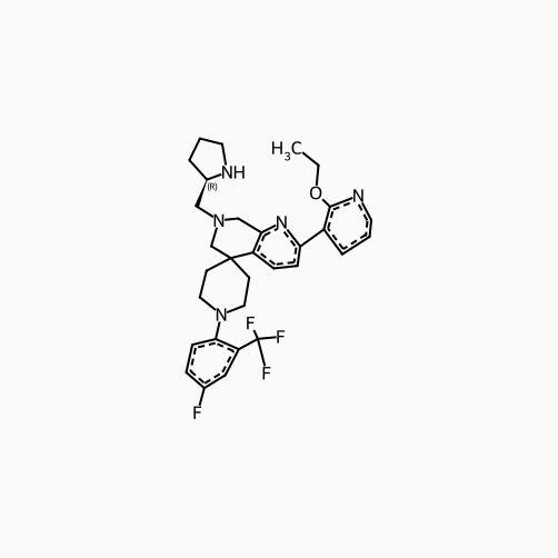 CCOc1ncccc1-c1ccc2c(n1)CN(C[C@H]1CCCN1)CC21CCN(c2ccc(F)cc2C(F)(F)F)CC1